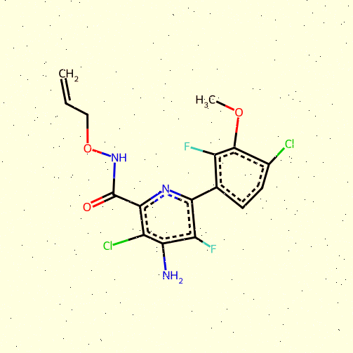 C=CCONC(=O)c1nc(-c2ccc(Cl)c(OC)c2F)c(F)c(N)c1Cl